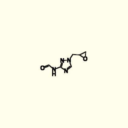 O=CNc1ncn(CC2CO2)n1